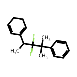 CC(C1=CCCC=C1)C(F)(F)C(C)(C)c1ccccc1